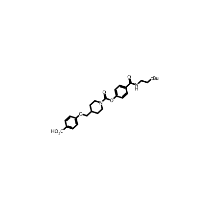 CC(C)(C)CCNC(=O)c1ccc(OC(=O)N2CCC(COc3ccc(C(=O)O)cc3)CC2)cc1